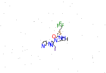 C#CCN(C(=O)C(=N)CSCCC(F)(F)F)c1cn(-c2cccnc2)nc1CI